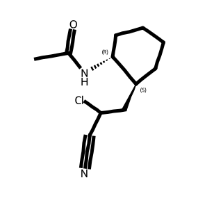 CC(=O)N[C@@H]1CCCC[C@H]1CC(Cl)C#N